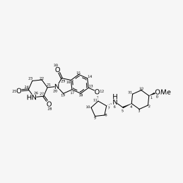 CO[C@H]1CC[C@@H](CN[C@@H]2CCC[C@@H]2Oc2ccc3c(c2)CN(C2CCC(=O)NC2=O)C3=O)CC1